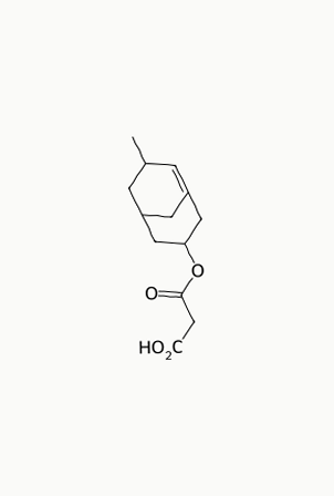 CC1C=C2CC(C1)CC(OC(=O)CC(=O)O)C2